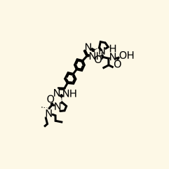 CCCN(CCC)[C@H](C)C(=O)N1CCC[C@H]1c1ncc(-c2ccc(-c3ccc(-c4cnc([C@@H]5CCCN5C(=O)[C@@H](NC(=O)O)C(C)C)[nH]4)cc3)cc2)[nH]1